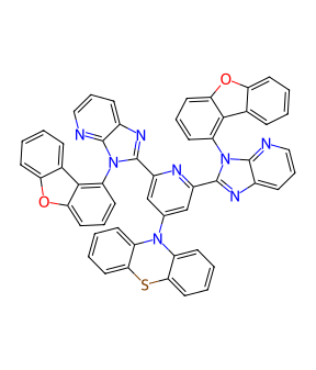 c1ccc2c(c1)Sc1ccccc1N2c1cc(-c2nc3cccnc3n2-c2cccc3oc4ccccc4c23)nc(-c2nc3cccnc3n2-c2cccc3oc4ccccc4c23)c1